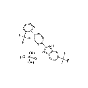 FC(F)(F)c1ccc2nc(-c3ccc(-c4ncccc4C(F)(F)F)cn3)[nH]c2c1.O=P(O)(O)O